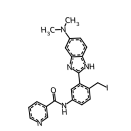 CN(C)c1ccc2[nH]c(-c3cc(NC(=O)c4cccnc4)ccc3CI)nc2c1